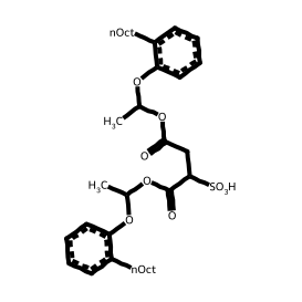 CCCCCCCCc1ccccc1OC(C)OC(=O)CC(C(=O)OC(C)Oc1ccccc1CCCCCCCC)S(=O)(=O)O